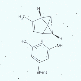 CCCCCc1cc(O)c([C@@]23C=C(C)[C@@H]4C5[C@H]2C543)c(O)c1